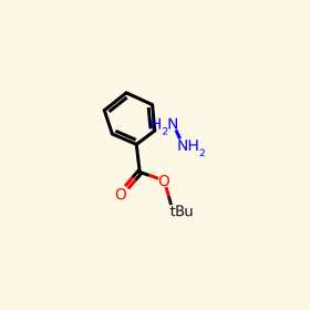 CC(C)(C)OC(=O)c1ccccc1.NN